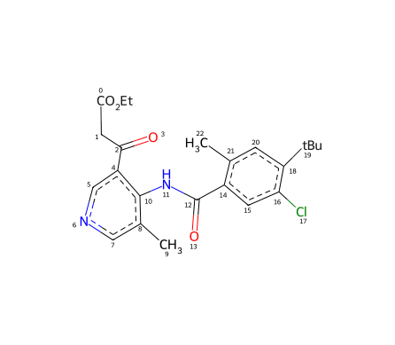 CCOC(=O)CC(=O)c1cncc(C)c1NC(=O)c1cc(Cl)c(C(C)(C)C)cc1C